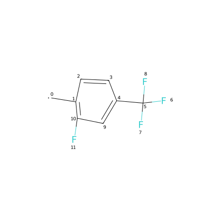 [CH2]c1ccc(C(F)(F)F)cc1F